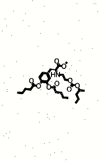 CCCCC(=O)Oc1ccc(C[C@H](NCCOC(=O)OC(C)CCC)C(=O)OC)cc1OC(=O)CCCC